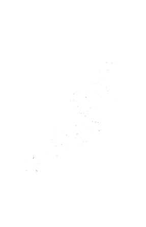 CS(=O)(=O)NCc1cc(F)cc(-c2cncc3[nH]c(-c4n[nH]c5ccc(-c6cncc(OCCN7CCCC7)c6)nc45)nc23)c1